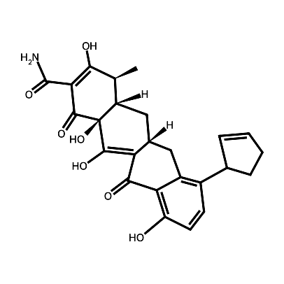 C[C@@H]1C(O)=C(C(N)=O)C(=O)[C@@]2(O)C(O)=C3C(=O)c4c(O)ccc(C5C=CCC5)c4C[C@H]3C[C@@H]12